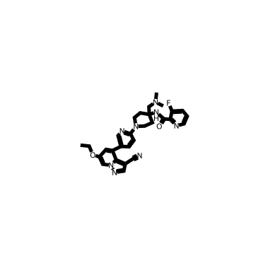 CCOc1cc(-c2ccc(N3CCC(CN(C)C)(NC(=O)c4ncccc4F)CC3)nc2)c2c(C#N)cnn2c1